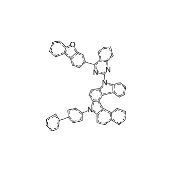 c1ccc(-c2ccc(-n3c4ccc5ccccc5c4c4c5c6ccccc6n(-c6nc(-c7ccc8c(c7)oc7ccccc78)c7ccccc7n6)c5ccc43)cc2)cc1